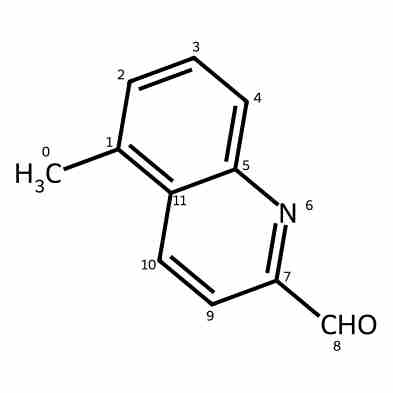 Cc1cccc2nc(C=O)ccc12